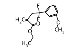 C=C(CC(F)(F)c1cccc(OC)c1)C(=O)OCC